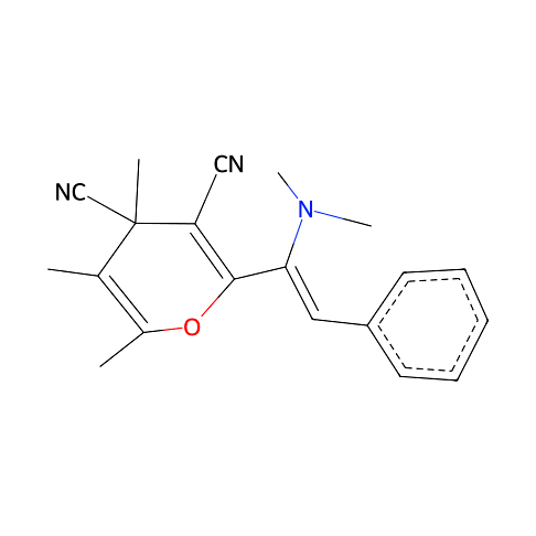 CC1=C(C)C(C)(C#N)C(C#N)=C(C(=Cc2ccccc2)N(C)C)O1